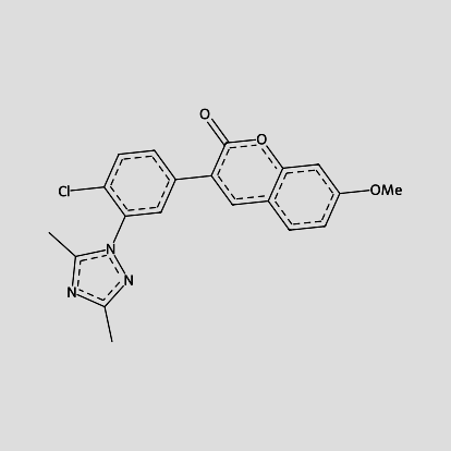 COc1ccc2cc(-c3ccc(Cl)c(-n4nc(C)nc4C)c3)c(=O)oc2c1